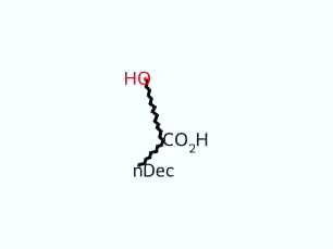 CCCCCCCCCCCCCCCCCCC(CCCCCCCCCCCCCCO)C(=O)O